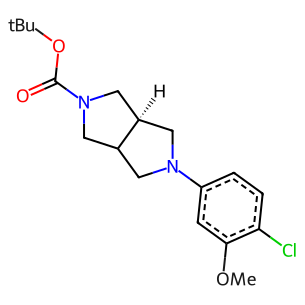 COc1cc(N2CC3CN(C(=O)OC(C)(C)C)C[C@H]3C2)ccc1Cl